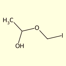 CC(O)OCI